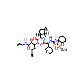 C#CCCC(NC(=O)[C@@H]1[C@H]2CCC3(CC3)[C@H]2CN1C(=O)[C@@H](NC(=O)NC1(CS(=O)(=O)C(C)(C)C)CCCCC1)C1CCCCC1)C(=O)C(=O)NCC=C